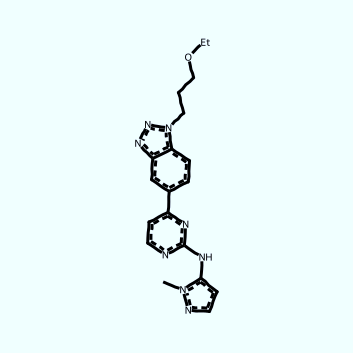 CCOCCCn1nnc2cc(-c3ccnc(Nc4ccnn4C)n3)ccc21